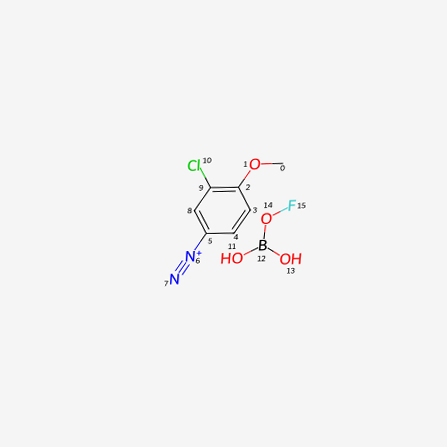 COc1ccc([N+]#N)cc1Cl.OB(O)OF